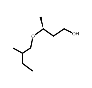 CCC(C)CO[C@@H](C)CCO